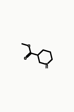 COC(=O)C1CCCNC1